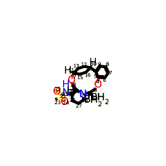 BC1(B)COc2ccccc2[C@H]2CC[C@H](CC2)OC[C@H]2[C@@H](NS(C)(=O)=O)CCCN21